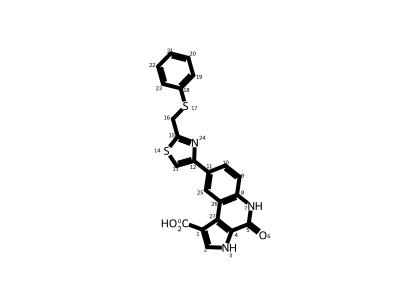 O=C(O)c1c[nH]c2c(=O)[nH]c3ccc(-c4csc(CSc5ccccc5)n4)cc3c12